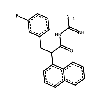 N=C(N)NC(=O)C(Cc1cccc(F)c1)c1cccc2ccccc12